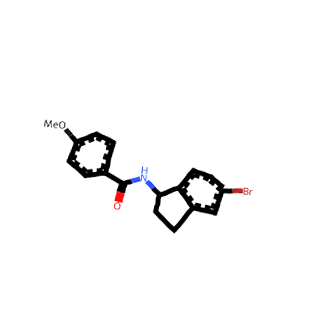 COc1ccc(C(=O)NC2CCc3cc(Br)ccc32)cc1